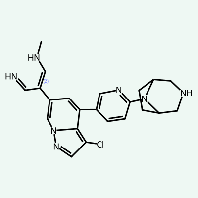 CN/C=C(\C=N)c1cc(-c2ccc(N3C4CCC3CNC4)nc2)c2c(Cl)cnn2c1